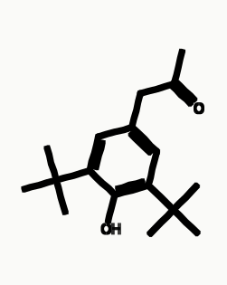 CC(=O)Cc1cc(C(C)(C)C)c(O)c(C(C)(C)C)c1